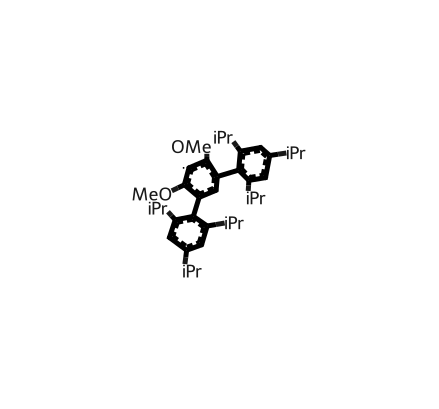 COc1[c]c(OC)c(-c2c(C(C)C)cc(C(C)C)cc2C(C)C)cc1-c1c(C(C)C)cc(C(C)C)cc1C(C)C